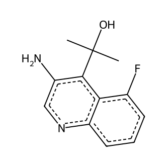 CC(C)(O)c1c(N)cnc2cccc(F)c12